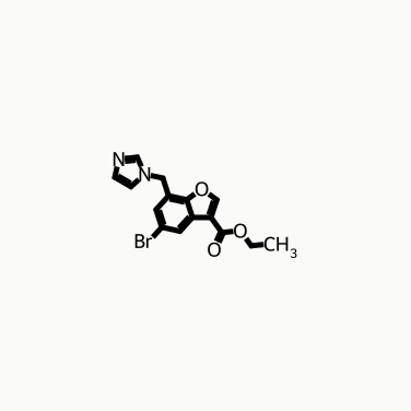 CCOC(=O)c1coc2c(Cn3ccnc3)cc(Br)cc12